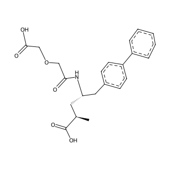 C[C@H](C[C@@H](Cc1ccc(-c2ccccc2)cc1)NC(=O)COCC(=O)O)C(=O)O